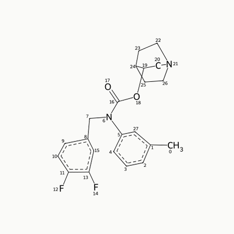 Cc1cccc(N(Cc2ccc(F)c(F)c2)C(=O)OC2CN3CCC2CC3)c1